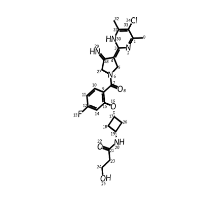 CC1=N/C(=C2\CN(C(=O)c3ccc(F)cc3O[C@H]3C[C@@H](NC(=O)CCO)C3)CC2=N)NC(C)=C1Cl